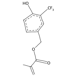 C=C(C)C(=O)OCc1ccc(O)c(C(F)(F)F)c1